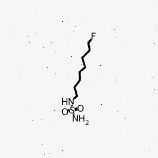 NS(=O)(=O)NCCCCCCCCF